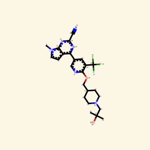 Cn1ccc2c(-c3cnc(OCC4CCN(CC(C)(C)O)CC4)c(C(F)(F)F)c3)nc(C#N)nc21